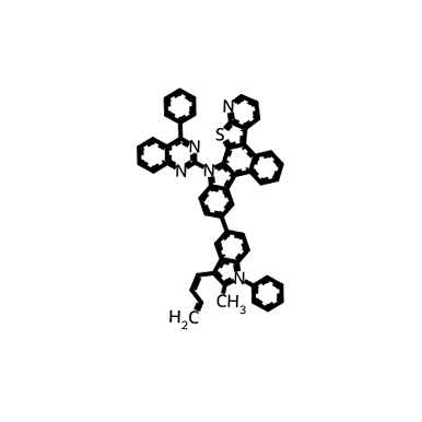 C=C/C=C\c1c(C)n(-c2ccccc2)c2ccc(-c3ccc4c(c3)c3c5ccccc5c5c6cccnc6sc5c3n4-c3nc(-c4ccccc4)c4ccccc4n3)cc12